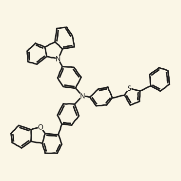 c1ccc(-c2ccc(-c3ccc(N(c4ccc(-c5cccc6c5oc5ccccc56)cc4)c4ccc(-n5c6ccccc6c6ccccc65)cc4)cc3)s2)cc1